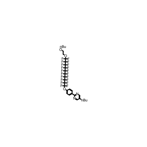 CCCCOCCOC(F)(F)C(F)(F)C(F)(F)C(F)(F)C(F)(F)C(F)(F)C(F)(F)C(F)(F)C(F)(F)C(F)(F)Oc1ccc(-c2ncc(CCCC)cn2)cc1